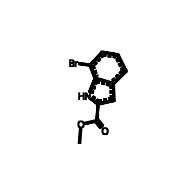 COC(=O)c1cc2cccc(Br)c2[nH]1